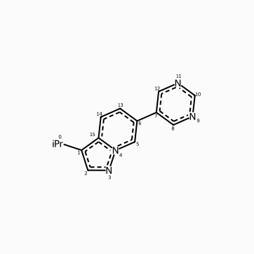 CC(C)c1cnn2cc(-c3cncnc3)ccc12